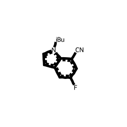 CCC(C)n1ccc2cc(F)cc(C#N)c21